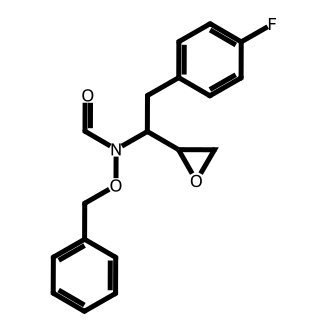 O=CN(OCc1ccccc1)C(Cc1ccc(F)cc1)C1CO1